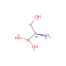 N[C@H](CO)C(O)O